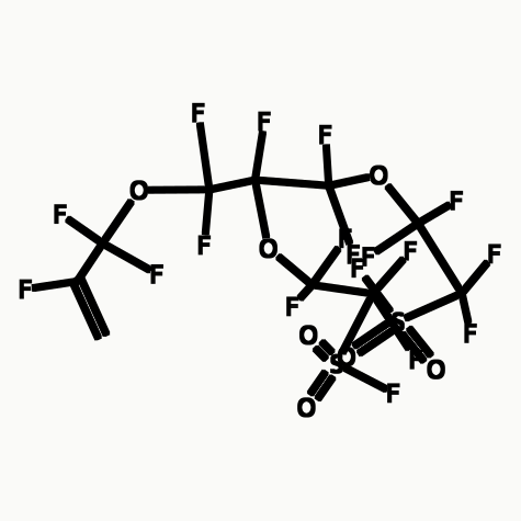 C=C(F)C(F)(F)OC(F)(F)C(F)(OC(F)(F)C(F)(F)S(=O)(=O)F)C(F)(F)OC(F)(F)C(F)(F)S(=O)(=O)F